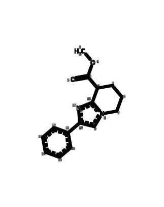 COC(=O)C1CCCn2cc(-c3ccccc3)nc21